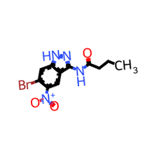 CCCC(=O)Nc1n[nH]c2cc(Br)c([N+](=O)[O-])cc12